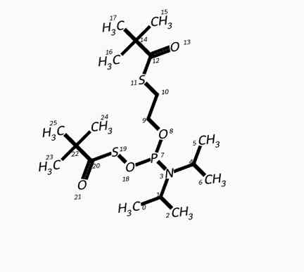 CC(C)N(C(C)C)P(OCCSC(=O)C(C)(C)C)OSC(=O)C(C)(C)C